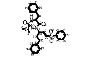 CN(C)S(=O)(=O)NC(Cc1ccccc1)C(=O)NC(C=CS(=O)(=O)c1ccccc1)CCc1ccccc1